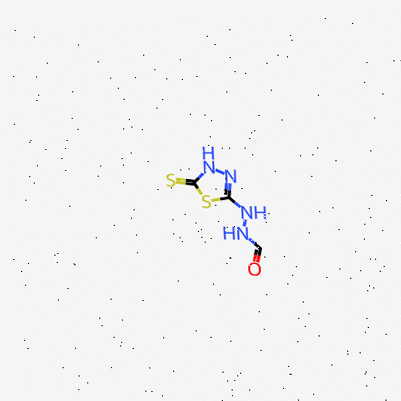 O=CNNc1n[nH]c(=S)s1